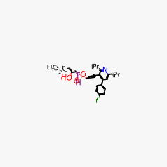 CC(C)c1cc(-c2ccc(F)cc2)c(C#CCO[PH](=O)CC(O)CC(=O)O)c(C(C)C)n1